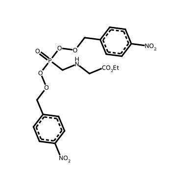 CCOC(=O)CNCP(=O)(OOCc1ccc([N+](=O)[O-])cc1)OOCc1ccc([N+](=O)[O-])cc1